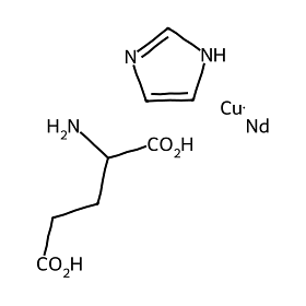 NC(CCC(=O)O)C(=O)O.[Cu].[Nd].c1c[nH]cn1